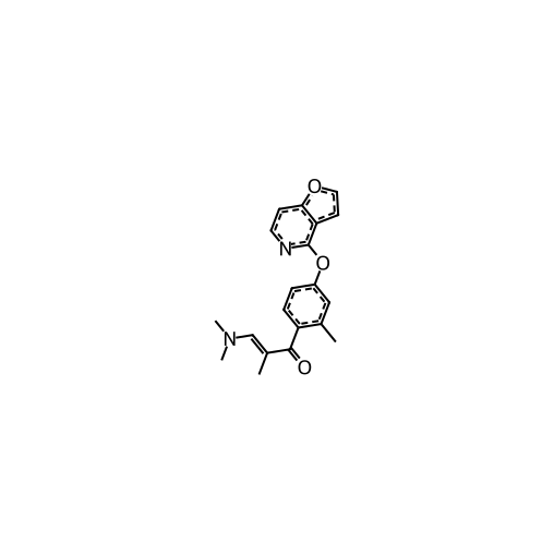 CC(=CN(C)C)C(=O)c1ccc(Oc2nccc3occc23)cc1C